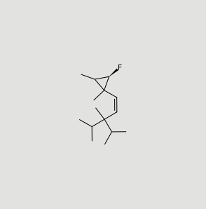 CC(C)C(C)(/C=C\C1(C)C(C)[C@H]1F)C(C)C